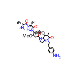 CCC(C)[C@@H](C(CC(=O)N1CCCC1C(OC)C(C)C(=O)NCCc1ccc(N)cc1)OC)N(C)C(=O)[C@@H](NC(=O)C(C(C)C)N(C)C)C(C)C